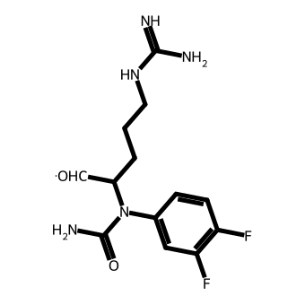 N=C(N)NCCCC([C]=O)N(C(N)=O)c1ccc(F)c(F)c1